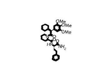 COc1cc([C@@H](C(=O)N2CCCCC2C(=O)N[C@@H](CCc2ccccc2)C(N)=O)C2CCCCC2)cc(OC)c1OC